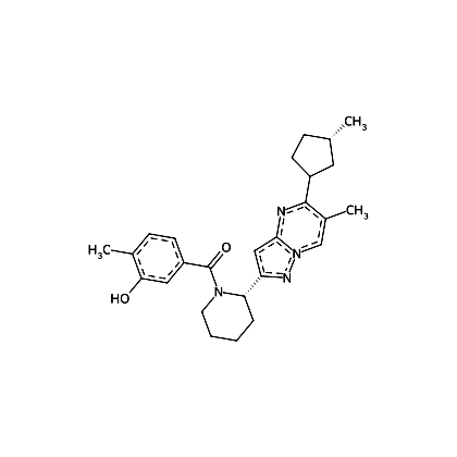 Cc1ccc(C(=O)N2CCCC[C@H]2c2cc3nc(C4CC[C@H](C)C4)c(C)cn3n2)cc1O